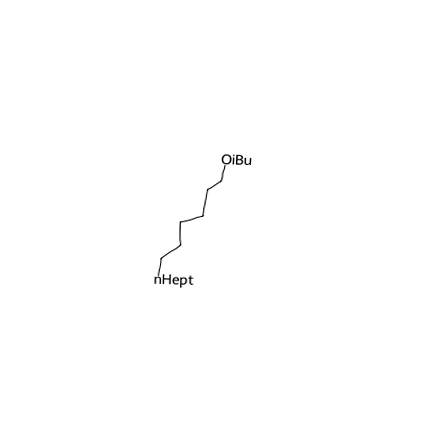 CCCCCCCCCCCCCOCC(C)C